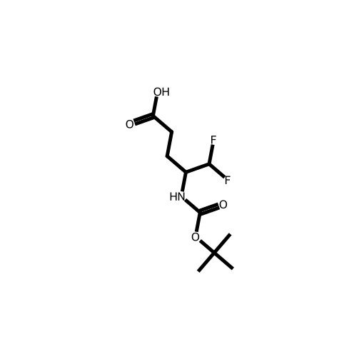 CC(C)(C)OC(=O)NC(CCC(=O)O)C(F)F